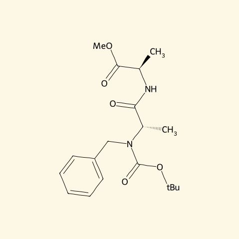 COC(=O)[C@@H](C)NC(=O)[C@H](C)N(Cc1ccccc1)C(=O)OC(C)(C)C